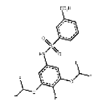 O=C(O)c1cccc(S(=O)(=O)Nc2cc(OC(F)F)c(F)c(OC(F)F)c2)c1